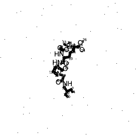 CCC(CC)CNC(=O)Cn1cccc(NC(=O)C(CC/C=C/C(=O)OC)NC(=O)O[PH](C)(C)C)c1=O